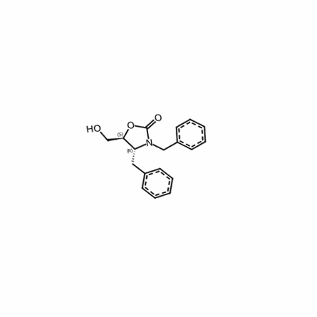 O=C1O[C@H](CO)[C@@H](Cc2ccccc2)N1Cc1ccccc1